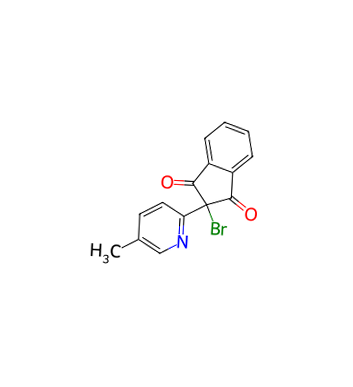 Cc1ccc(C2(Br)C(=O)c3ccccc3C2=O)nc1